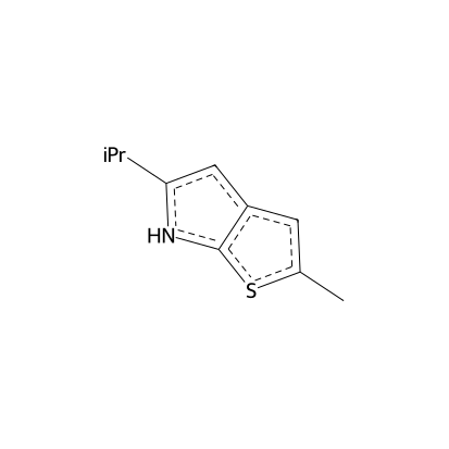 Cc1cc2cc(C(C)C)[nH]c2s1